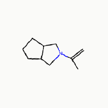 C=C(C)N1CC2CCCC2C1